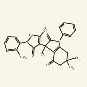 COc1ccccc1-n1[nH]c(C)c(C2(C(F)(F)F)C(=O)N(c3ccccc3)C3=C2C(=O)CC(C)(C)C3)c1=O